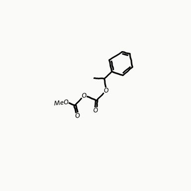 COC(=O)OC(=O)OC(C)c1ccccc1